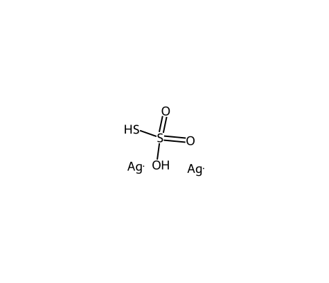 O=S(=O)(O)S.[Ag].[Ag]